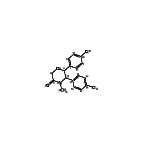 CN1C(=O)COC(c2ccc(Cl)cc2)C1c1ccc(Cl)cc1